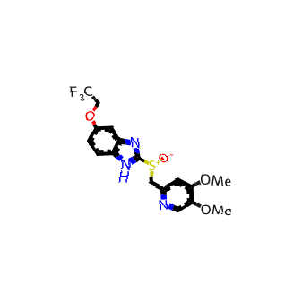 COc1cnc(C[S+]([O-])c2nc3cc(OCC(F)(F)F)ccc3[nH]2)cc1OC